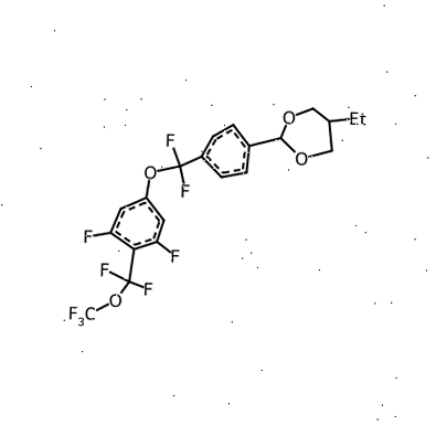 CCC1COC(c2ccc(C(F)(F)Oc3cc(F)c(C(F)(F)OC(F)(F)F)c(F)c3)cc2)OC1